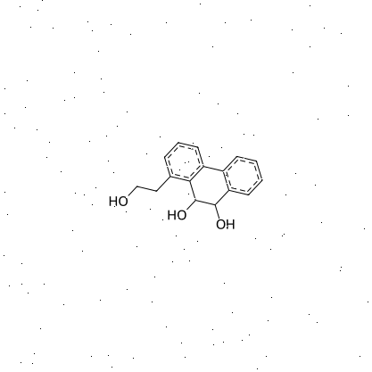 OCCc1cccc2c1C(O)C(O)c1ccccc1-2